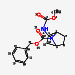 CC(C)(C)OC(=O)NC1=C2CCC(C1)N2C(=O)OCc1ccccc1